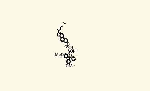 COc1ccc(C(OCC(O)CNC(=O)O[C@@H]2CC[C@]3(C)C(=CCC4C3CC[C@]3(C)C4CC[C@H]3[C@@H](C)CCCC(C)C)C2)(c2ccccc2)c2ccc(OC)cc2)cc1